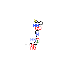 COc1cc(NC(=O)CCN2CCC(OC(=O)Nc3ccccc3-c3ccsc3)CC2)c(Cl)cc1CO